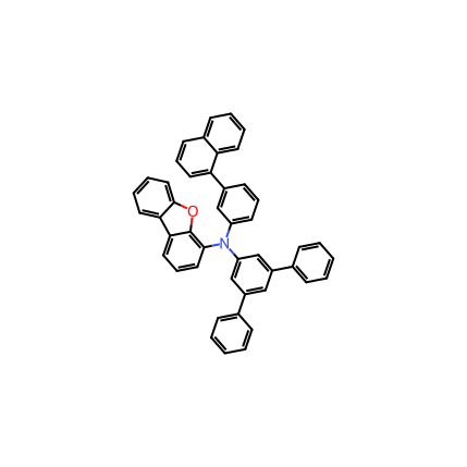 c1ccc(-c2cc(-c3ccccc3)cc(N(c3cccc(-c4cccc5ccccc45)c3)c3cccc4c3oc3ccccc34)c2)cc1